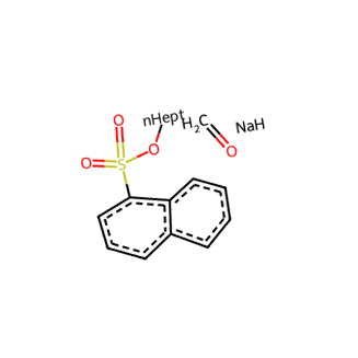 C=O.CCCCCCCOS(=O)(=O)c1cccc2ccccc12.[NaH]